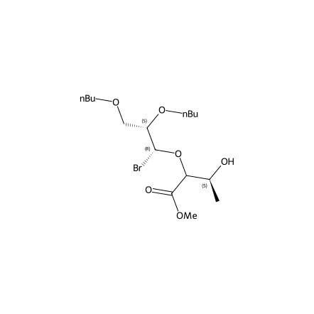 CCCCOC[C@H](OCCCC)[C@@H](Br)OC(C(=O)OC)[C@H](C)O